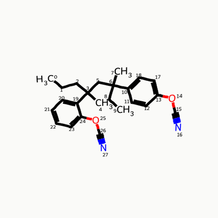 CCCC(C)(CC(C)(CC)c1ccc(OC#N)cc1)c1ccccc1OC#N